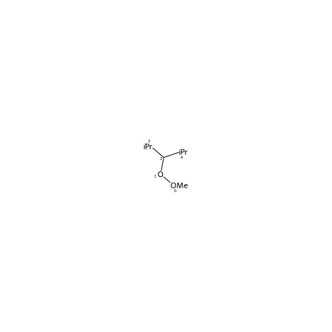 COOC(C(C)C)C(C)C